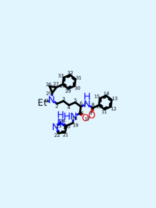 CCN(CCCCC(NC(=O)c1ccccc1)C(=O)NCc1ccn[nH]1)C1CC1c1ccccc1